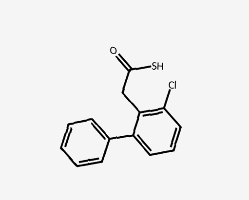 O=C(S)Cc1c(Cl)cccc1-c1ccccc1